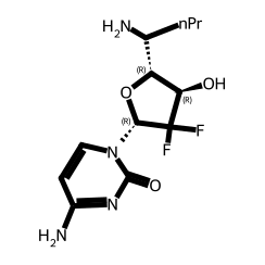 CCCC(N)[C@H]1O[C@@H](n2ccc(N)nc2=O)C(F)(F)[C@@H]1O